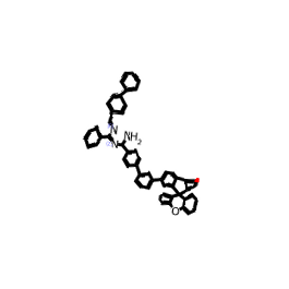 NC(/N=C(\N=C\c1ccc(-c2ccccc2)cc1)c1ccccc1)c1ccc(-c2cccc(-c3ccc4c(c3)C3(c5ccccc5Oc5ccccc53)c3ccccc3-4)c2)cc1